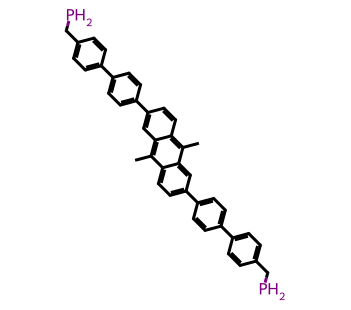 Cc1c2ccc(-c3ccc(-c4ccc(CP)cc4)cc3)cc2c(C)c2ccc(-c3ccc(-c4ccc(CP)cc4)cc3)cc12